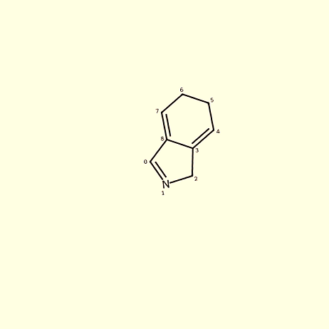 C1=NCC2=CCCC=C12